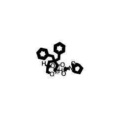 O=C(O[C@@H]1[C@@H]2OC[C@H](CC1(Cc1ccccc1)Cc1ccccc1)O2)N1OC2C=CC1C2